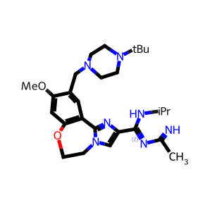 COc1cc2c(cc1CN1CCN(C(C)(C)C)CC1)-c1nc(/C(=N/C(C)=N)NC(C)C)cn1CCO2